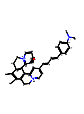 Cc1c(C)c2c(c3c1CC[n+]1ccc(/C=C/C=C/c4ccc(N(C)C)cc4)cc1-3)-c1c3ccccc3cc[n+]1CC2